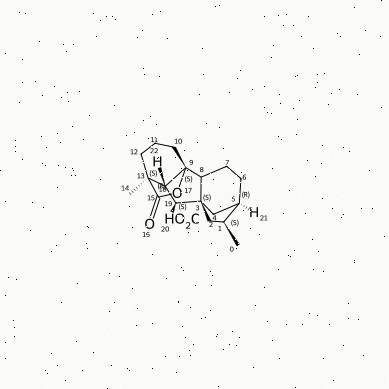 C[C@H]1C[C@]23C[C@H]1CCC2[C@]12CCC[C@](C)(C(=O)O1)[C@H]2[C@@H]3C(=O)O